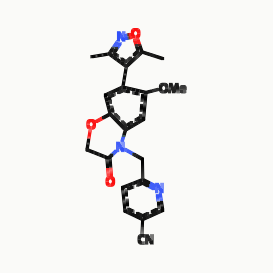 COc1cc2c(cc1-c1c(C)noc1C)OCC(=O)N2Cc1ccc(C#N)cn1